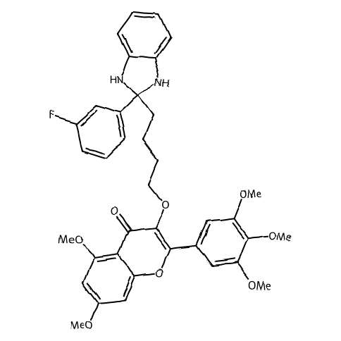 COc1cc(OC)c2c(=O)c(OCCCCC3(c4cccc(F)c4)Nc4ccccc4N3)c(-c3cc(OC)c(OC)c(OC)c3)oc2c1